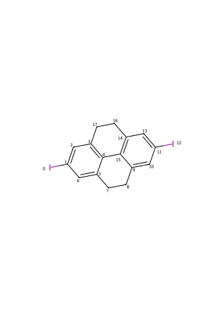 Ic1cc2c3c(c1)CCc1cc(I)cc(c1-3)CC2